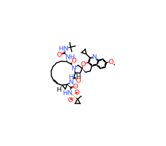 COc1ccc2c3c(c(C4CC4)nc2c1)O[C@]1(CC3)C[C@H]2C(=O)N[C@]3(C(=O)NS(=O)(=O)C4(C)CC4)C[C@H]3/C=C\CCCCC[C@H](NC(=O)NC(C)(C)C)C(=O)N2C1